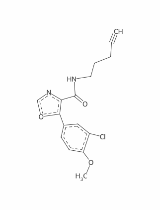 C#CCCCNC(=O)c1ncoc1-c1ccc(OC)c(Cl)c1